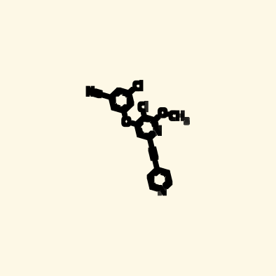 COc1nc(C#Cc2ccncc2)cc(Oc2cc(Cl)cc(C#N)c2)c1Cl